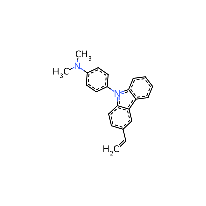 C=Cc1ccc2c(c1)c1ccccc1n2-c1ccc(N(C)C)cc1